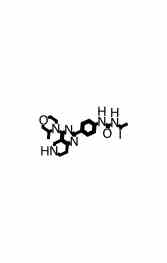 CC(I)NC(=O)Nc1ccc(-c2nc3c(c(N4CCOCC4C)n2)CNCC3)cc1